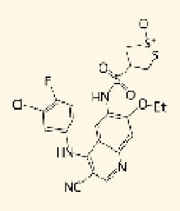 CCOc1cc2ncc(C#N)c(Nc3ccc(F)c(Cl)c3)c2cc1NS(=O)(=O)C1CS[S+]([O-])C1